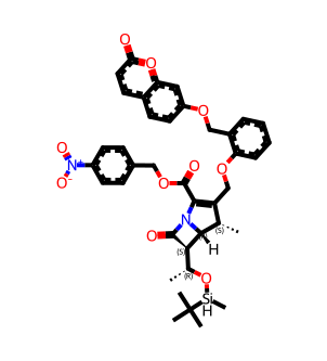 C[C@@H](O[SiH](C)C(C)(C)C)[C@H]1C(=O)N2C(C(=O)OCc3ccc([N+](=O)[O-])cc3)=C(COc3ccccc3COc3ccc4ccc(=O)oc4c3)[C@H](C)[C@H]12